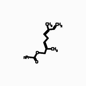 C=CC(C)=CCC=C(C)COC(=O)CCC